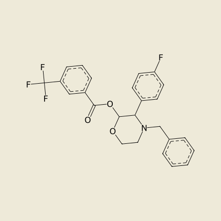 O=C(OC1OCCN(Cc2ccccc2)C1c1ccc(F)cc1)c1cccc(C(F)(F)F)c1